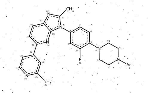 CC(=O)N1CCN(c2ccc(-n3c(C)nc4ccc(-c5ccnc(N)c5)nc43)cc2F)CC1